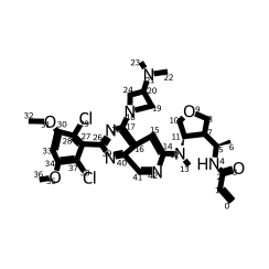 C=CC(=O)N[C@H](C)C1COC[C@H]1N(C)c1cc2c(N3CC(N(C)C)C3)nc(-c3c(Cl)c(OC)cc(OC)c3Cl)nc2cn1